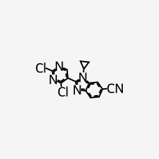 N#Cc1ccc2nc(-c3cnc(Cl)nc3Cl)n(C3CC3)c2c1